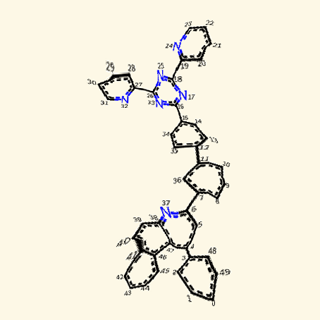 c1ccc(-c2cc(-c3cccc(-c4ccc(-c5nc(-c6ccccn6)nc(-c6ccccn6)n5)cc4)c3)nc3ccc4ccccc4c23)cc1